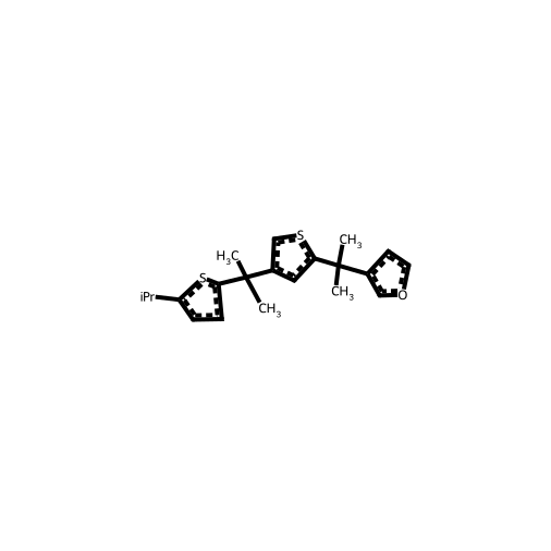 CC(C)c1ccc(C(C)(C)c2csc(C(C)(C)c3ccoc3)c2)s1